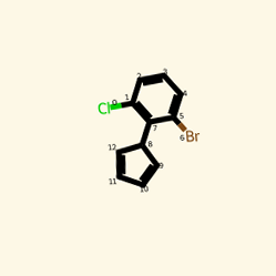 Clc1cccc(Br)c1C1C=CC=C1